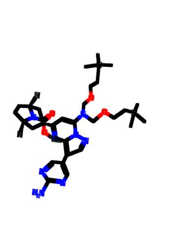 CC(C)(C)OC(=O)N1[C@@H]2CC[C@H]1C[C@@H](c1cc(N(COCC[Si](C)(C)C)COCC[Si](C)(C)C)n3ncc(-c4cnc(N)nc4)c3n1)C2